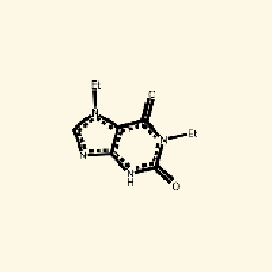 CCn1c(=O)[nH]c2ncn(CC)c2c1=O